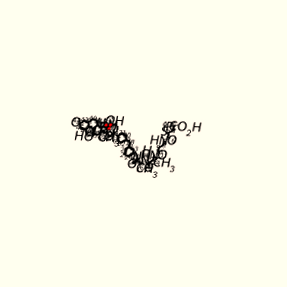 CC(C)SC(CC(=O)O)C(=O)NCCC(=O)N[C@@H](C)C(=O)N[C@@H](C)C(=O)Nc1cccc(Cc2ccc([C@@H]3O[C@@H]4CC5[C@@H]6CCC7=CC(=O)C=C[C@]7(C)C6[C@@H](O)C[C@]5(C)[C@]4(C(=O)CO)O3)cc2)c1